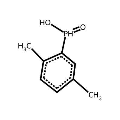 Cc1ccc(C)c([PH](=O)O)c1